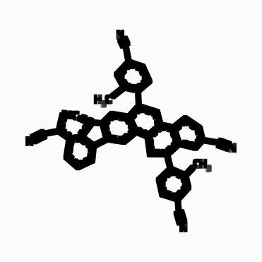 Cc1cc(C#N)ccc1-c1cc2c3cc4c(cc3c(-c3ccc(C#N)cc3C)cc2c2ccc(C#N)cc12)-c1ccc(C#N)c2cccc-4c12